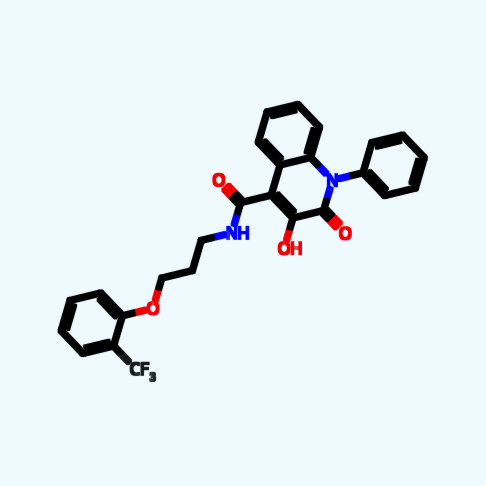 O=C(NCCCOc1ccccc1C(F)(F)F)c1c(O)c(=O)n(-c2ccccc2)c2ccccc12